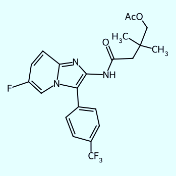 CC(=O)OCC(C)(C)CC(=O)Nc1nc2ccc(F)cn2c1-c1ccc(C(F)(F)F)cc1